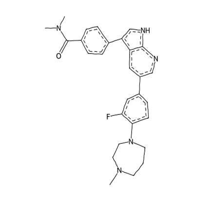 CN1CCCN(c2ccc(-c3cnc4[nH]cc(-c5ccc(C(=O)N(C)C)cc5)c4c3)cc2F)CC1